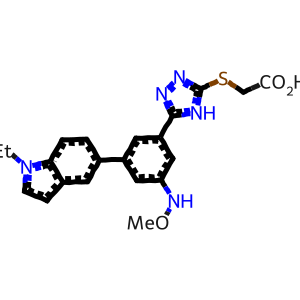 CCn1ccc2cc(-c3cc(NOC)cc(-c4nnc(SCC(=O)O)[nH]4)c3)ccc21